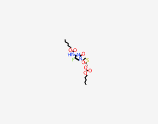 CCCCCOC(=O)Nc1nc(=O)n([C@@H]2CS[C@H](COC(=O)OCCCCC)O2)cc1F